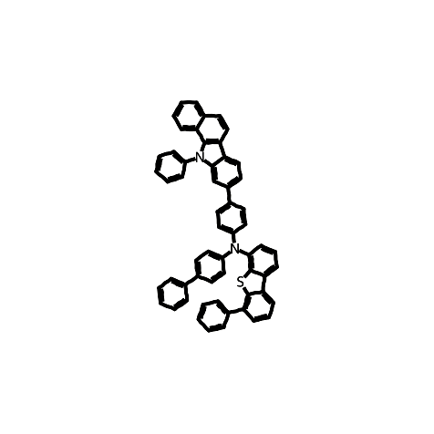 c1ccc(-c2ccc(N(c3ccc(-c4ccc5c6ccc7ccccc7c6n(-c6ccccc6)c5c4)cc3)c3cccc4c3sc3c(-c5ccccc5)cccc34)cc2)cc1